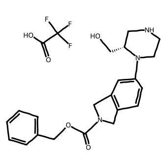 O=C(O)C(F)(F)F.O=C(OCc1ccccc1)N1Cc2ccc(N3CCNC[C@H]3CO)cc2C1